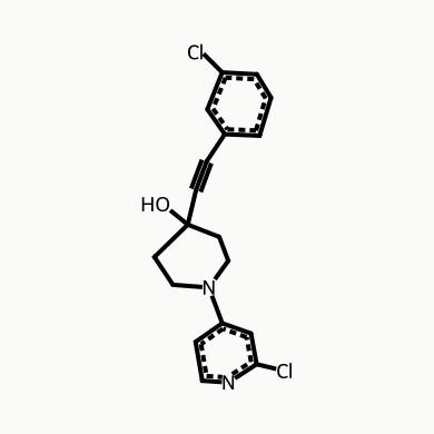 OC1(C#Cc2cccc(Cl)c2)CCN(c2ccnc(Cl)c2)CC1